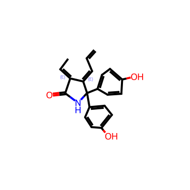 C=C/C=C1\C(=C/C)C(=O)NC1(c1ccc(O)cc1)c1ccc(O)cc1